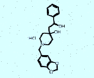 Cl.OC(CC1(O)CCN(Cc2ccc3c(c2)OCO3)CC1)c1ccccc1